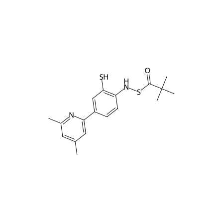 Cc1cc(C)nc(-c2ccc(NSC(=O)C(C)(C)C)c(S)c2)c1